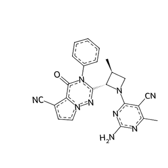 Cc1nc(N)nc(N2C[C@H](C)[C@H]2c2nn3ccc(C#N)c3c(=O)n2-c2ccccc2)c1C#N